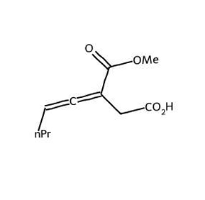 CCCC=C=C(CC(=O)O)C(=O)OC